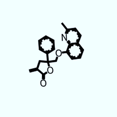 C=C1CC(COc2cccc3ccc(C)nc23)(c2ccccc2)OC1=O